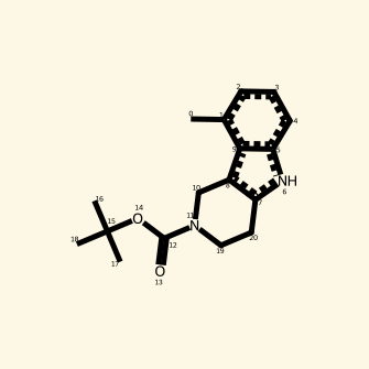 Cc1cccc2[nH]c3c(c12)CN(C(=O)OC(C)(C)C)CC3